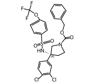 O=C(OCc1ccccc1)N1CC[C@@](NS(=O)(=O)c2ccc(OC(F)(F)F)cc2)(c2ccc(Cl)c(Cl)c2)C1